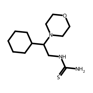 NC(=S)NCC(C1CCCCC1)N1CCOCC1